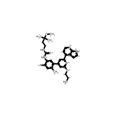 COC(C)(C)CCNC(=O)Nc1cc(-c2cc(OCCO)nc(-c3ccnc4[nH]ccc34)c2)c(C)cc1F